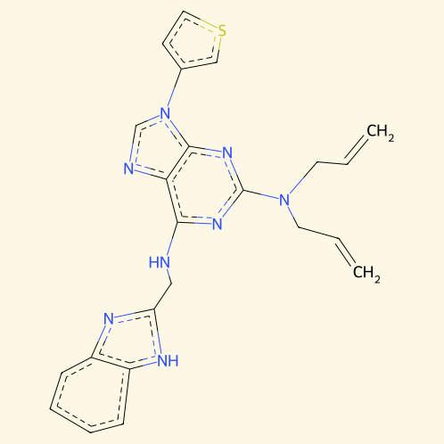 C=CCN(CC=C)c1nc(NCc2nc3ccccc3[nH]2)c2ncn(-c3ccsc3)c2n1